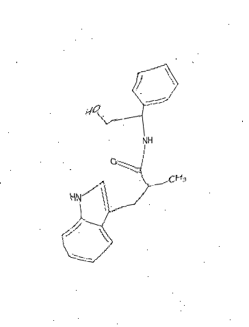 C[C](Cc1c[nH]c2ccccc12)C(=O)NC(CO)c1ccccc1